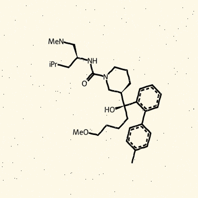 CNC[C@H](CC(C)C)NC(=O)N1CCC[C@@H]([C@@](O)(CCCCOC)c2ccccc2-c2ccc(C)cc2)C1